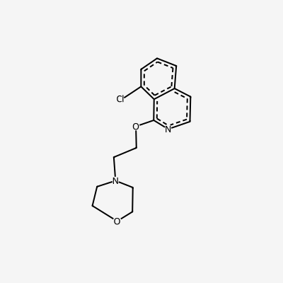 Clc1cccc2ccnc(OCCN3CCOCC3)c12